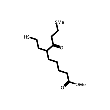 COC(=O)CCCCC(CCS)C(=O)CCSC